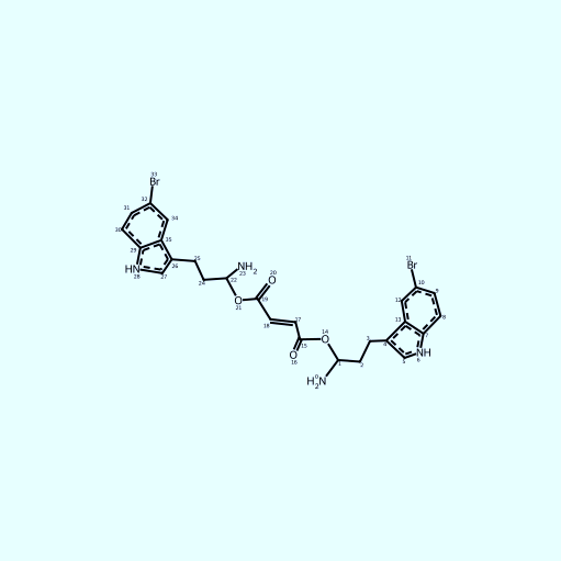 NC(CCc1c[nH]c2ccc(Br)cc12)OC(=O)/C=C/C(=O)OC(N)CCc1c[nH]c2ccc(Br)cc12